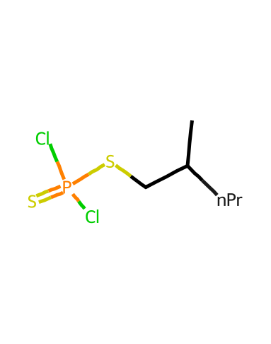 CCCC(C)CSP(=S)(Cl)Cl